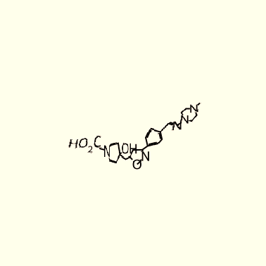 CN1CCN(N=Cc2ccc(C3=NOC(CC4(O)CCN(CC(=O)O)CC4)C3)cc2)CC1